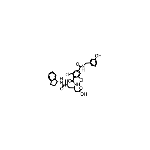 O=C(O)CC(CNC(=O)N[C@@H]1CCc2ccccc21)NC(=O)c1c(Cl)cc(C(=O)NCc2cccc(O)c2)cc1Cl